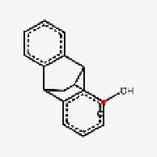 O=C(O)C1CC2c3ccccc3C1c1ccccc12